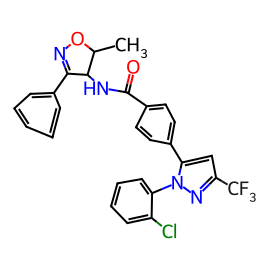 CC1ON=C(c2ccccc2)C1NC(=O)c1ccc(-c2cc(C(F)(F)F)nn2-c2ccccc2Cl)cc1